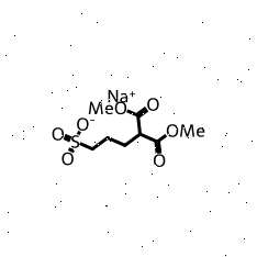 COC(=O)C(CCCS(=O)(=O)[O-])C(=O)OC.[Na+]